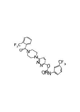 O=C(Nc1cccc(C(F)(F)F)c1)Oc1ccc(N2CCN(C(=O)c3ccccc3C(F)(F)F)CC2)nn1